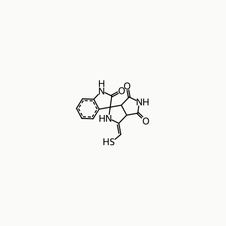 O=C1NC(=O)C2C1/C(=C/S)NC21C(=O)Nc2ccccc21